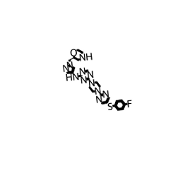 Fc1ccc(Sc2cnc(N3CCN(c4ncnc(Nc5cnn(C[C@@H]6CNCCO6)c5)n4)CC3)nc2)cc1